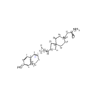 CC/C(=C\c1ccc(O)cc1)[C@@H]1C[C@H]1NC1CC2(CCN(CC(N)=O)CC2)C1